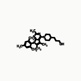 Cc1cc(C)c(-n2c(C)c(C)c3c(N4CCC(CCCO)CC4)nc(C)nc32)c(C)c1